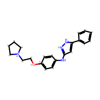 c1ccc(-c2cc(Nc3ccc(OCCN4CCCC4)cc3)n[nH]2)cc1